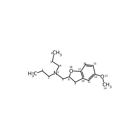 CCCN(CCC)CC1Cc2cc(OC)ccc2O1